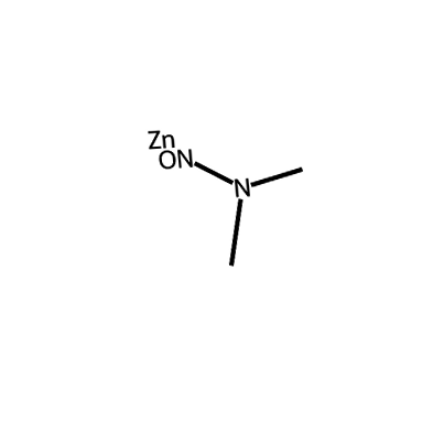 CN(C)N=O.[Zn]